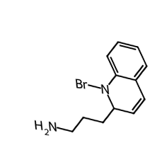 NCCCC1C=Cc2ccccc2N1Br